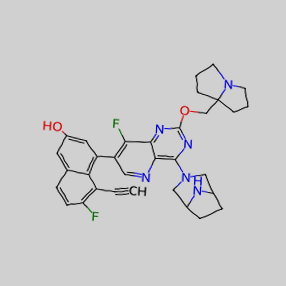 C#Cc1c(F)ccc2cc(O)cc(-c3cnc4c(N5CC6CCC(C5)N6)nc(OCC56CCCN5CCC6)nc4c3F)c12